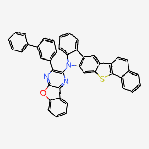 c1ccc(-c2cccc(-c3nc4oc5ccccc5c4nc3-n3c4ccccc4c4cc5c(cc43)sc3c4ccccc4ccc53)c2)cc1